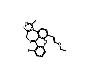 CCOC=Cc1ccc2c(c1Cl)C(c1c(F)cccc1F)=NCc1nnc(C)n1-2